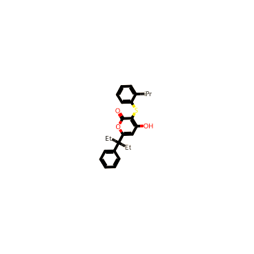 CCC(CC)(c1ccccc1)c1cc(O)c(Sc2ccccc2C(C)C)c(=O)o1